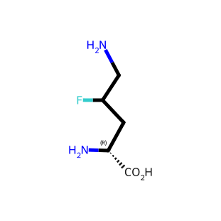 NCC(F)C[C@@H](N)C(=O)O